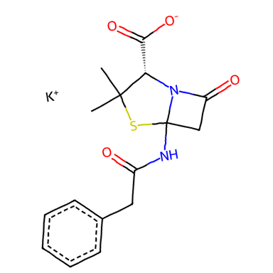 CC1(C)SC2(NC(=O)Cc3ccccc3)CC(=O)N2[C@H]1C(=O)[O-].[K+]